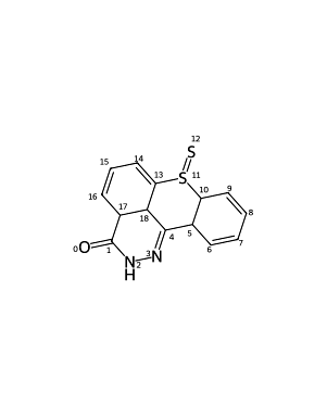 O=C1NN=C2C3C=CC=CC3S(=S)C3=CC=CC1C32